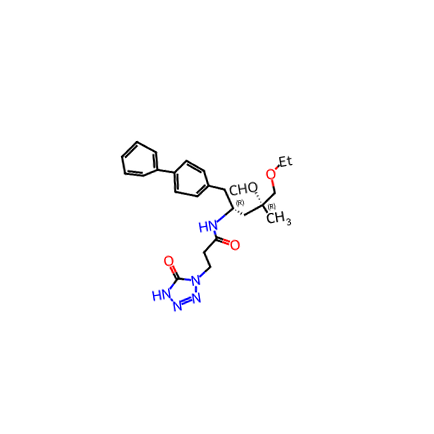 CCOC[C@](C)(C=O)C[C@@H](Cc1ccc(-c2ccccc2)cc1)NC(=O)CCn1nn[nH]c1=O